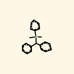 C[PH](C)(c1ccccc1)C(c1ccccc1)c1ccccc1